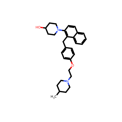 CC1CCN(CCOc2ccc(Cc3c(N4CCC(O)CC4)ccc4ccccc34)cc2)CC1